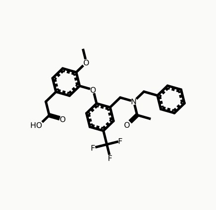 COc1ccc(CC(=O)O)cc1Oc1ccc(C(F)(F)F)cc1CN(Cc1ccccc1)C(C)=O